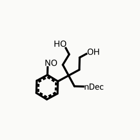 CCCCCCCCCCCC(CCO)(CCO)c1ccccc1N=O